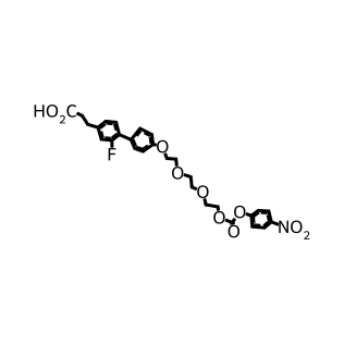 O=C(O)CCc1ccc(-c2ccc(OCCOCCOCCOC(=O)Oc3ccc([N+](=O)[O-])cc3)cc2)c(F)c1